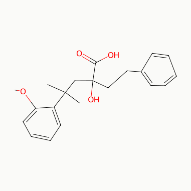 COc1ccccc1C(C)(C)CC(O)(CCc1ccccc1)C(=O)O